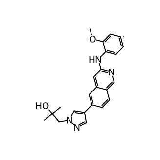 COc1c[c]ccc1Nc1cc2cc(-c3cnn(CC(C)(C)O)c3)ccc2cn1